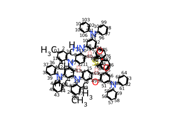 Cc1cc(C)c(N2c3cc4c(cc3B3c5cc6c(cc5N(c5c(C)cc(C)cc5C)c5cc(N(c7ccccc7)c7ccccc7)cc2c53)Oc2cc(N(c3ccccc3)c3ccccc3)cc3c2B6c2sc5ccccc5c2O3)B2c3sc5ccccc5c3Oc3cc(N(c5ccccc5)c5ccccc5)cc(c32)N4)c(C)c1